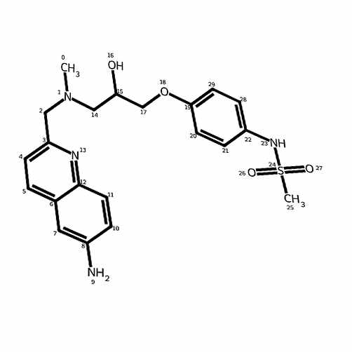 CN(Cc1ccc2cc(N)ccc2n1)CC(O)COc1ccc(NS(C)(=O)=O)cc1